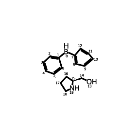 B(c1ccccc1)c1ccccc1.OC[C@@H]1CCCN1